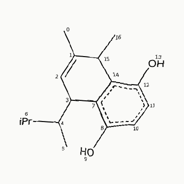 CC1=CC(C(C)C(C)C)c2c(O)ccc(O)c2C1C